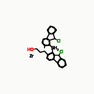 Cc1ccc2c(c1[SiH2]c1c(CCCO)ccc3c1C(Cl)c1ccccc1-3)C(Cl)c1ccccc1-2.[Zr]